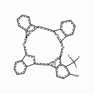 FC(F)(F)c1c(S)ccc2c3nc4nc(nc5[nH]c(nc6nc(nc([nH]3)c12)-c1ccccc1-6)c1ccccc51)-c1ccccc1-4